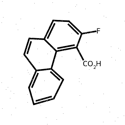 O=C(O)c1c(F)ccc2ccc3ccccc3c12